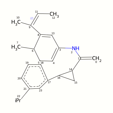 C=C(NC1=CCC(C)C(/C(C)=C\C)=C1)C1CC1c1cccc(C(C)C)c1